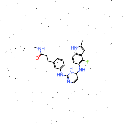 CNC(=O)CCc1cccc(NC2=NC=CC(Nc3ccc4[nH]c(C)cc4c3F)N2)c1